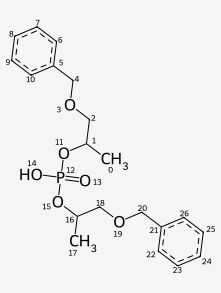 CC(COCc1ccccc1)OP(=O)(O)OC(C)COCc1ccccc1